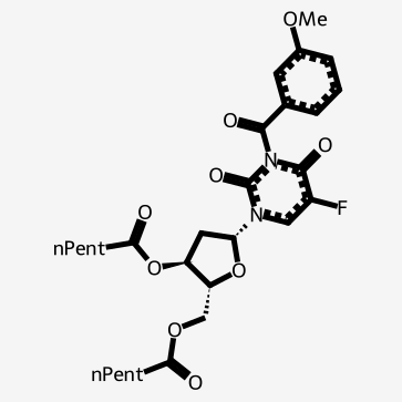 CCCCCC(=O)OC[C@H]1O[C@@H](n2cc(F)c(=O)n(C(=O)c3cccc(OC)c3)c2=O)C[C@@H]1OC(=O)CCCCC